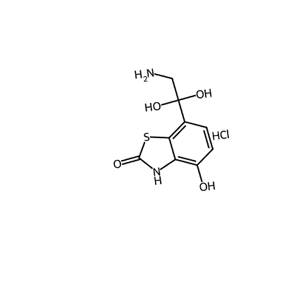 Cl.NCC(O)(O)c1ccc(O)c2[nH]c(=O)sc12